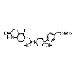 COCc1ccc(C2(O)CCN(C(O)Cc3ccc4c(c3F)CCC(=O)N4)CC2)cc1